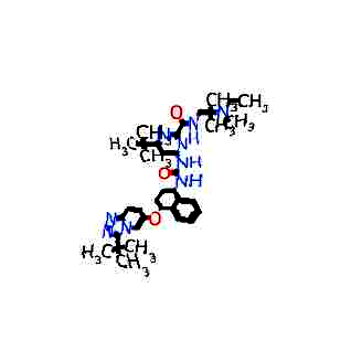 CCN(C)C(C)(C)CNC(=O)c1nc(NC(=O)N[C@H]2CC[C@@H](Oc3ccc4nnc(C(C)(C)C)n4c3)c3ccccc32)cc(C(C)(C)C)n1